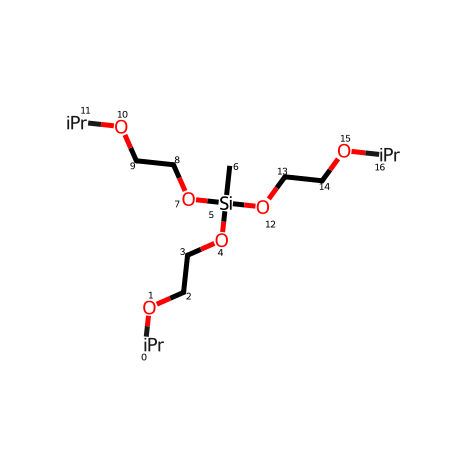 CC(C)OCCO[Si](C)(OCCOC(C)C)OCCOC(C)C